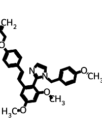 C=CCOc1ccc(C=Cc2cc(OC)cc(OC)c2-c2nccn2Cc2ccc(OC)cc2)cc1